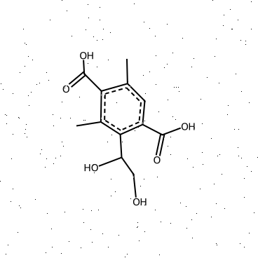 Cc1cc(C(=O)O)c(C(O)CO)c(C)c1C(=O)O